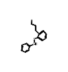 CCCCc1ccccc1SNc1ccccc1